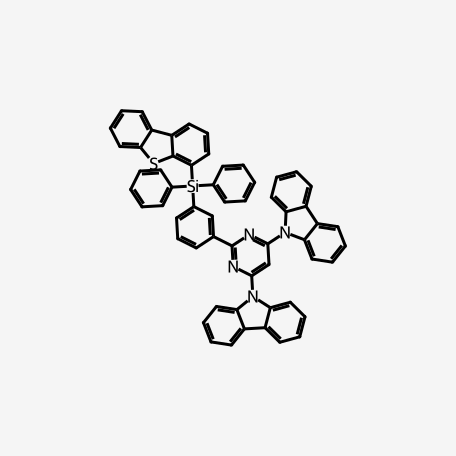 c1ccc([Si](c2ccccc2)(c2cccc(-c3nc(-n4c5ccccc5c5ccccc54)cc(-n4c5ccccc5c5ccccc54)n3)c2)c2cccc3c2sc2ccccc23)cc1